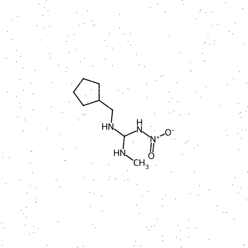 CNC(NCC1CCCC1)N[N+](=O)[O-]